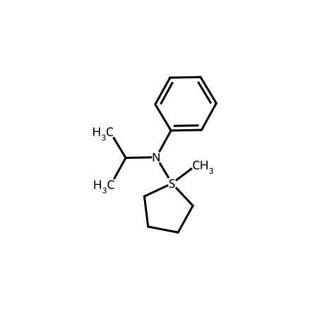 CC(C)N(c1ccccc1)S1(C)CCCC1